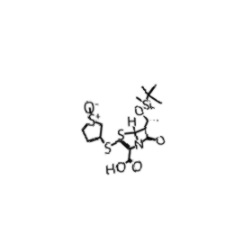 C[C@@H](O[Si](C)(C)C(C)(C)C)[C@H]1C(=O)N2C(C(=O)O)=C(SC3CC[S+]([O-])C3)S[C@H]12